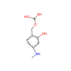 CNc1ccc(COB(O)O)c(O)c1